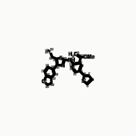 C=C(OC)c1cc(-c2cccs2)cnc1Nc1nc(-c2ccc3c(c2)CCO3)c(CC(C)C)s1